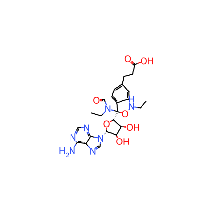 CCNOC(c1ccc(CCC(=O)O)cc1)([C@H]1O[C@@H](n2cnc3c(N)ncnc32)[C@H](O)[C@@H]1O)N(C=O)CC